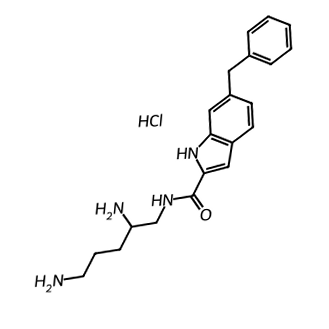 Cl.NCCCC(N)CNC(=O)c1cc2ccc(Cc3ccccc3)cc2[nH]1